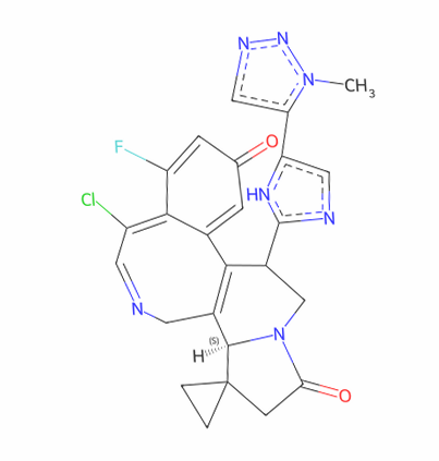 Cn1nncc1-c1cnc(C2CN3C(=O)CC4(CC4)[C@H]3C3=C2C2=CC(=O)C=C(F)C2=C(Cl)C=NC3)[nH]1